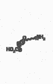 NN=CCCCCCC(=O)N1CCC2(CC1)CN(C(=O)C(=O)O)CO2